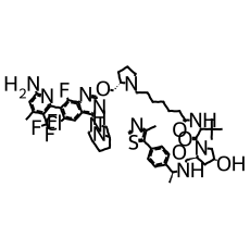 Cc1cc(N)nc(-c2c(Cl)cc3c(N4CC5CCC(C4)N5)nc(OC[C@@H]4CCCN4CCCCCCC(=O)N[C@H](C(=O)N4C[C@H](O)C[C@H]4C(=O)N[C@@H](C)c4ccc(-c5scnc5C)cc4)C(C)(C)C)nc3c2F)c1C(F)(F)F